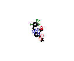 CC(C)(C)OC(=O)c1ccc2nc(Cc3cc(F)c(Br)cc3F)n(C[C@@H]3CCO3)c2n1